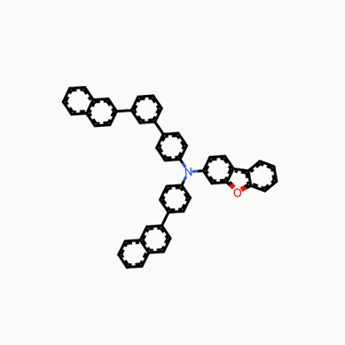 c1cc(-c2ccc(N(c3ccc(-c4ccc5ccccc5c4)cc3)c3ccc4c(c3)oc3ccccc34)cc2)cc(-c2ccc3ccccc3c2)c1